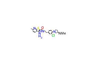 CNC1CCN(c2ccc(CCNC(=O)c3sc4nc(C)ccc4c3N)cc2Cl)C1